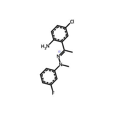 C/C(=N\N(C)c1cccc(F)c1)c1cc(Cl)ccc1N